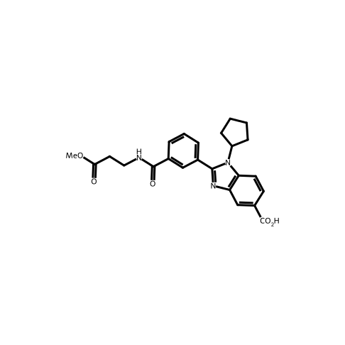 COC(=O)CCNC(=O)c1cccc(-c2nc3cc(C(=O)O)ccc3n2C2CCCC2)c1